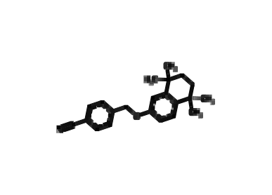 CC1(C)CCC(C)(C)c2cc(OCc3ccc(C#N)cc3)ccc21